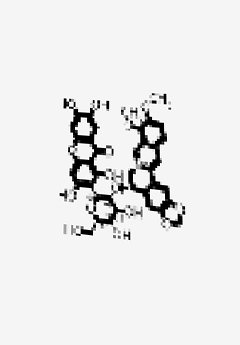 COc1ccc2cc3[n+](cc2c1OC)CCc1cc2c(cc1-3)OCO2.O=c1c2cc(O)c(O)cc2oc2cc(O)c([C@@H]3O[C@H](CO)[C@@H](O)[C@H](O)[C@H]3O)c(O)c12